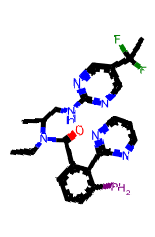 CCN(C(=O)c1cccc(P)c1-c1ncccn1)C(C)CNc1ncc(C(C)(F)F)cn1